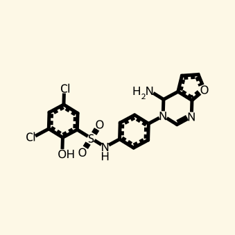 NC1c2ccoc2N=CN1c1ccc(NS(=O)(=O)c2cc(Cl)cc(Cl)c2O)cc1